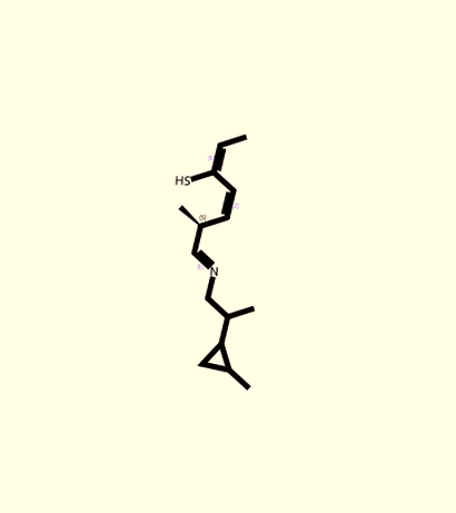 C/C=C(S)\C=C/[C@H](C)/C=N/CC(C)C1CC1C